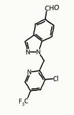 O=Cc1ccc2c(cnn2Cc2ncc(C(F)(F)F)cc2Cl)c1